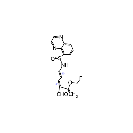 C=C(OCF)/C(C=O)=C\C=C\N[S+]([O-])c1cccc2nccnc12